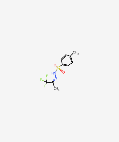 CC(=NNS(=O)(=O)c1ccc(C)cc1)C(F)(F)F